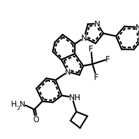 NC(=O)c1ccc(-n2cc(C(F)(F)F)c3c(-n4cnc(-c5cccnc5)c4)cccc32)c(NC2CCC2)c1